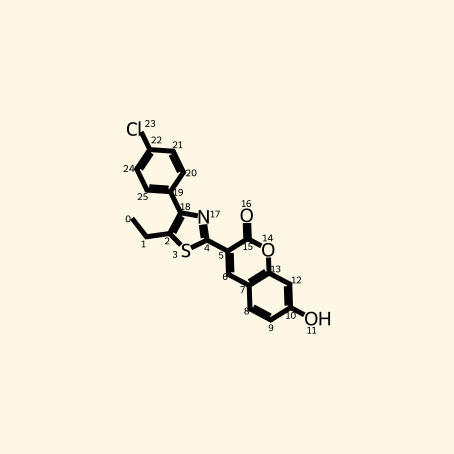 CCc1sc(-c2cc3ccc(O)cc3oc2=O)nc1-c1ccc(Cl)cc1